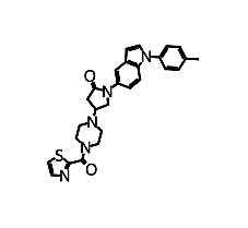 Cc1ccc(-n2ccc3cc(N4CC(N5CCN(C(=O)c6nccs6)CC5)CC4=O)ccc32)cc1